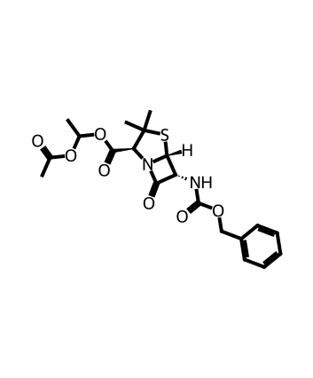 CC(=O)OC(C)OC(=O)[C@@H]1N2C(=O)[C@@H](NC(=O)OCc3ccccc3)[C@H]2SC1(C)C